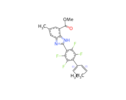 C/C=C\C(=C/C)c1c(F)c(F)c(-c2nc3cc(C)cc(C(=O)OC)c3[nH]2)c(F)c1F